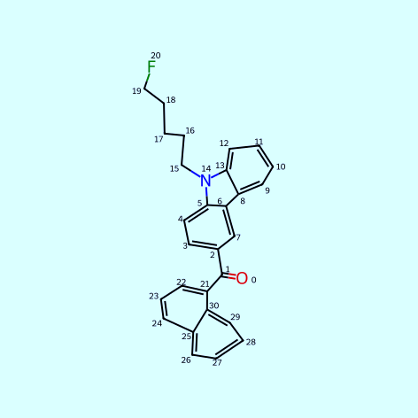 O=C(c1ccc2c(c1)c1ccccc1n2CCCCCF)c1cccc2ccccc12